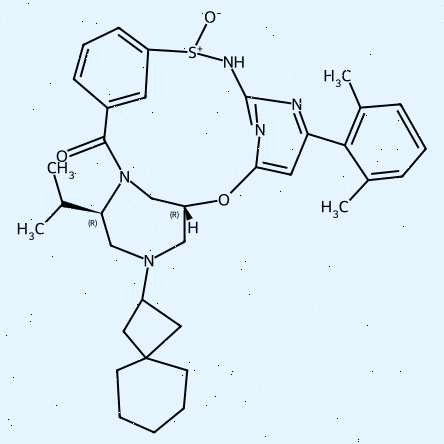 Cc1cccc(C)c1-c1cc2nc(n1)N[S+]([O-])c1cccc(c1)C(=O)N1C[C@@H](CN(C3CC4(CCCCC4)C3)C[C@H]1C(C)C)O2